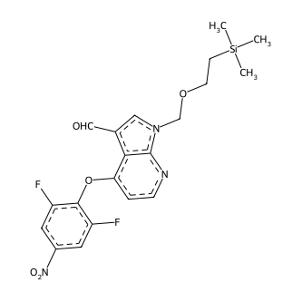 C[Si](C)(C)CCOCn1cc(C=O)c2c(Oc3c(F)cc([N+](=O)[O-])cc3F)ccnc21